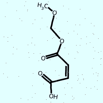 COCOC(=O)/C=C\C(=O)O